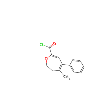 CC1=C(c2ccccc2)C=C(C(=O)Cl)OCC1